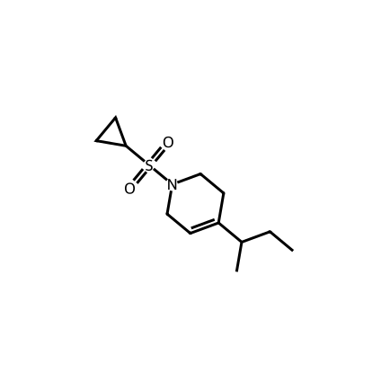 CCC(C)C1=CCN(S(=O)(=O)C2CC2)CC1